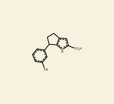 N#Cc1cccc(C2CCc3cc(C(=O)O)[nH]c32)c1